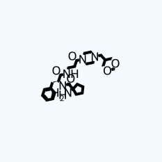 NC1(C(=O)N[C@H](Cc2ccccc2)C(=O)NCCC(=O)N2CCN(CC3COCOC3)CC2)CCCC1